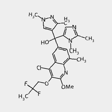 COc1nc2c(C)cc(C(O)(c3cn(C)nc3C)c3cnc(C)n3C)cc2c(Cl)c1OCC(C)(F)F